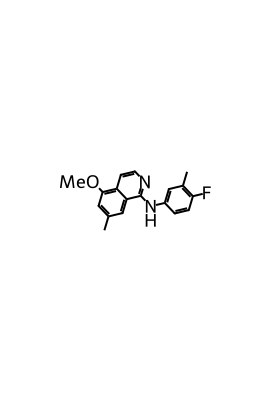 COc1cc(C)cc2c(Nc3ccc(F)c(C)c3)nccc12